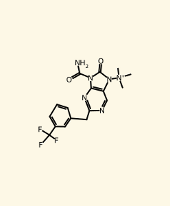 C[N+](C)(C)n1c(=O)n(C(N)=O)c2nc(Cc3cccc(C(F)(F)F)c3)ncc21